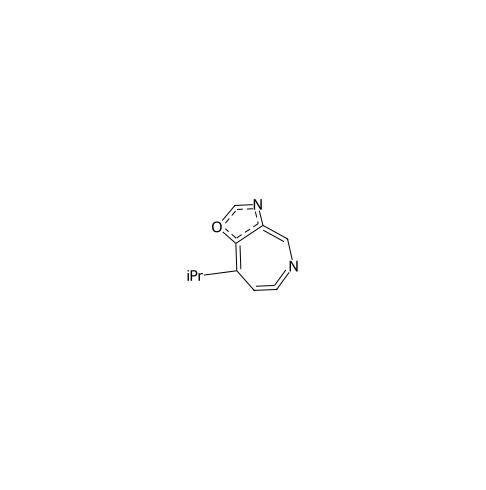 CC(C)C1=c2ocnc2=CN=C=C1